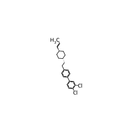 C/C=C/[C@H]1CC[C@H](CCc2ccc(-c3ccc(Cl)c(Cl)c3)cc2)CC1